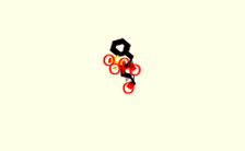 O=C[C@H]1CC[C@@H](Cc2ccccc2S(=O)(=O)O)O1